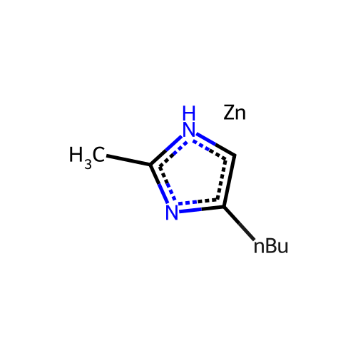 CCCCc1c[nH]c(C)n1.[Zn]